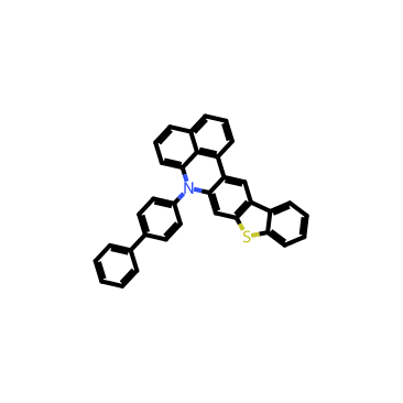 c1ccc(-c2ccc(N3c4cc5sc6ccccc6c5cc4-c4cccc5cccc3c45)cc2)cc1